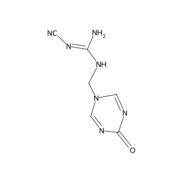 N#CN=C(N)NCn1cnc(=O)nc1